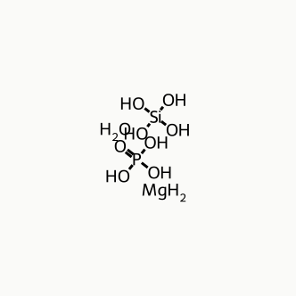 O.O=P(O)(O)O.O[Si](O)(O)O.[MgH2]